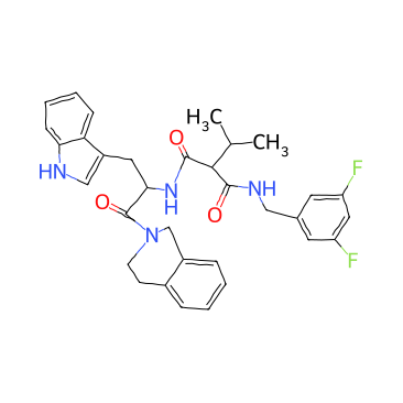 CC(C)C(C(=O)NCc1cc(F)cc(F)c1)C(=O)NC(Cc1c[nH]c2ccccc12)C(=O)N1CCc2ccccc2C1